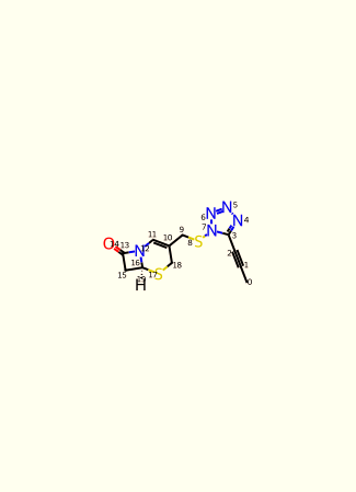 CC#Cc1nnnn1SCC1=CN2C(=O)C[C@@H]2SC1